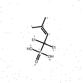 CCC(C=C(C)C)(CC)P(=O)(O)O